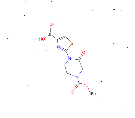 CC(C)(C)OC(=O)N1CCN(c2nc(B(O)O)cs2)C(=O)C1